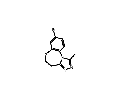 Cc1nnc2n1-c1ccc(Br)cc1NCC2